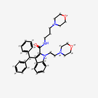 O=C(NCCCN1CCOCC1)c1c(C(c2ccccc2)c2ccccc2)c2ccccc2n1CCN1CCOCC1